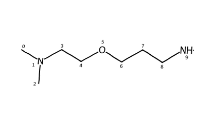 CN(C)CCOCCC[NH]